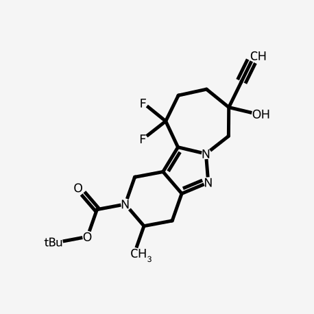 C#CC1(O)CCC(F)(F)c2c3c(nn2C1)CC(C)N(C(=O)OC(C)(C)C)C3